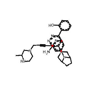 CC1CN(CC#Cc2cc(N3C4CCC3CN(c3cc(-c5ccccc5O)nnc3N)C4)ccn2)CCN1